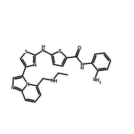 CCNCc1cccc2ncc(-c3csc(Nc4ccc(C(=O)Nc5ccccc5N)s4)n3)n12